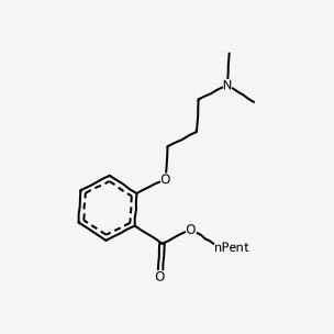 CCCCCOC(=O)c1ccccc1OCCCN(C)C